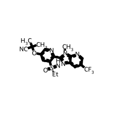 CC[S@@](=N)(=O)c1cc(OC(C)(C)C#N)cnc1-c1nc2cc(C(F)(F)F)cnc2n1C